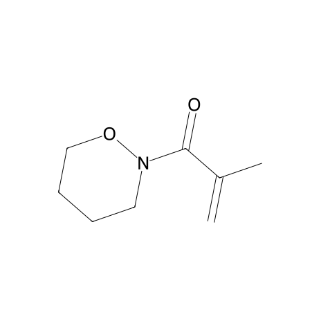 C=C(C)C(=O)N1CCCCO1